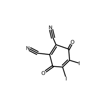 N#CC1=C(C#N)C(=O)C(I)=C(I)C1=O